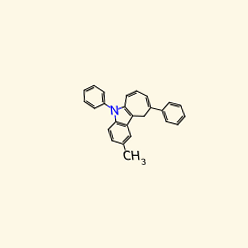 Cc1ccc2c(c1)c1c(n2-c2ccccc2)C=CC=C(c2ccccc2)C1